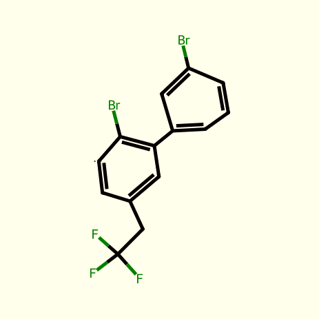 FC(F)(F)Cc1c[c]c(Br)c(-c2cccc(Br)c2)c1